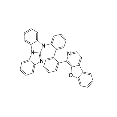 c1ccc(-c2nccc3c2oc2ccccc23)c(-c2ccccc2-n2c3ccccc3n3c4ccccc4nc23)c1